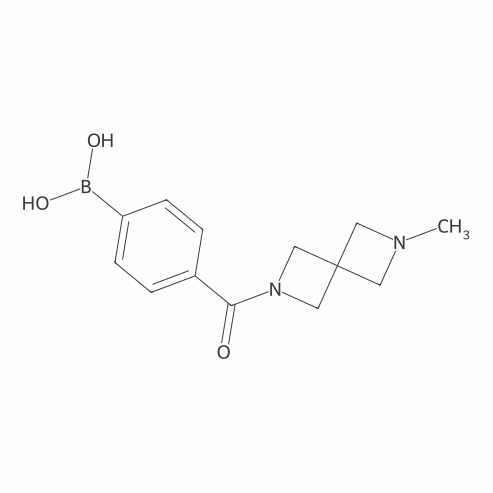 CN1CC2(C1)CN(C(=O)c1ccc(B(O)O)cc1)C2